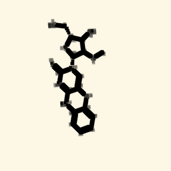 COC1C(O)[C@@H](CO)S[C@H]1n1cc2c(nc1=S)Nc1ccccc1O2